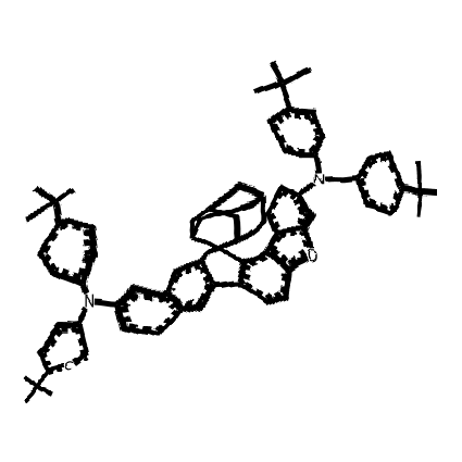 CC(C)(C)c1ccc(N(c2ccc(C(C)(C)C)cc2)c2ccc3cc4c(cc3c2)C2(c3c-4ccc4oc5cc(N(c6ccc(C(C)(C)C)cc6)c6ccc(C(C)(C)C)cc6)ccc5c34)C3CC4CC(C3)CC2C4)cc1